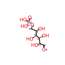 O=C[C@@H](O)[C@H](O)[C@@H](O)[C@H](O)COP(=O)(O)O